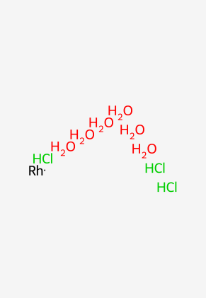 Cl.Cl.Cl.O.O.O.O.O.O.[Rh]